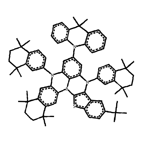 CC(C)(C)c1ccc2sc3c(c2c1)N(c1ccc2c(c1)C(C)(C)CCC2(C)C)c1cc(N2c4ccccc4C(C)(C)c4ccccc42)cc2c1B3c1cc3c(cc1N2c1ccc2c(c1)C(C)(C)CCC2(C)C)C(C)(C)CCC3(C)C